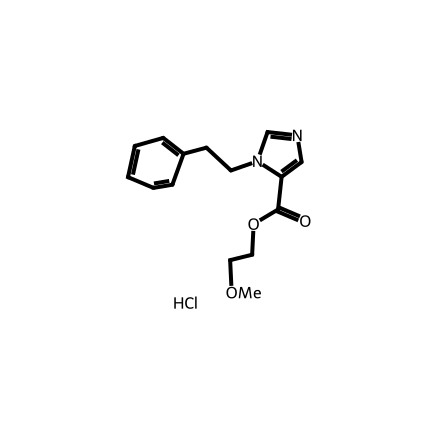 COCCOC(=O)c1cncn1CCc1ccccc1.Cl